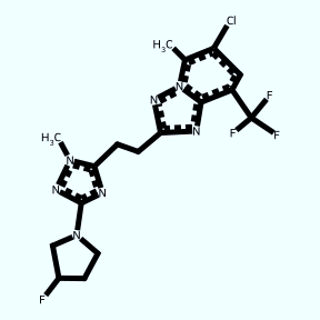 Cc1c(Cl)cc(C(F)(F)F)c2nc(CCc3nc(N4CCC(F)C4)nn3C)nn12